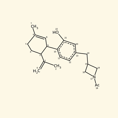 C=C(C)C1CCC(C)=CC1c1ccc(CC2CN(C(C)=O)C2)cc1O